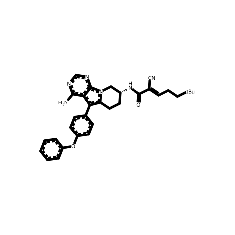 CC(C)(C)CC/C=C(\C#N)C(=O)N[C@@H]1CCc2c(-c3ccc(Oc4ccccc4)cc3)c3c(N)ncnc3n2C1